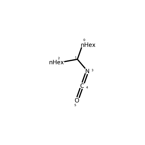 CCCCCCC(CCCCCC)N=C=O